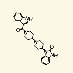 O=C(c1c[nH]c2ccccc12)N1CCC(N2CCC(n3c(=O)[nH]c4ccccc43)CC2)CC1